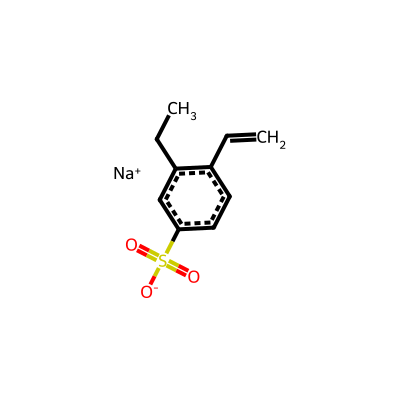 C=Cc1ccc(S(=O)(=O)[O-])cc1CC.[Na+]